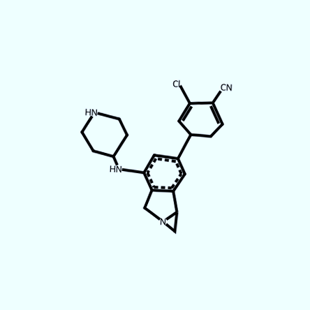 N#CC1=CCC(c2cc(NC3CCNCC3)c3c(c2)C2CN2C3)C=C1Cl